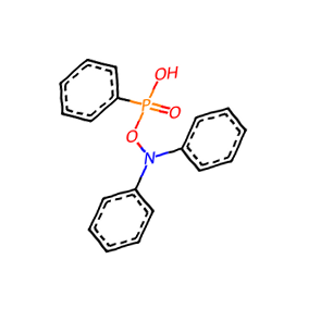 O=P(O)(ON(c1ccccc1)c1ccccc1)c1ccccc1